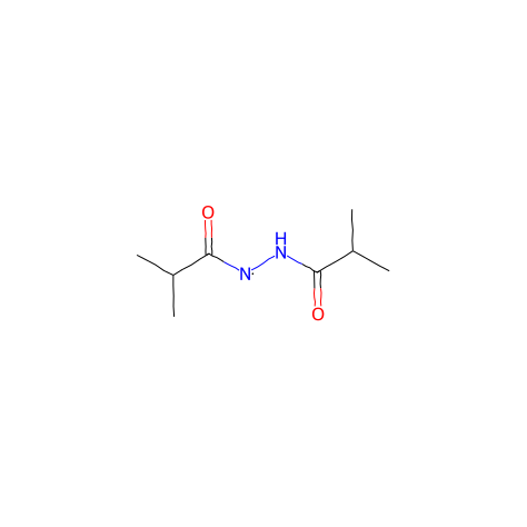 CC(C)C(=O)[N]NC(=O)C(C)C